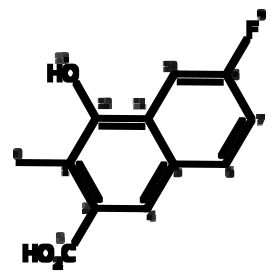 Cc1c(C(=O)O)cc2ccc(F)cc2c1O